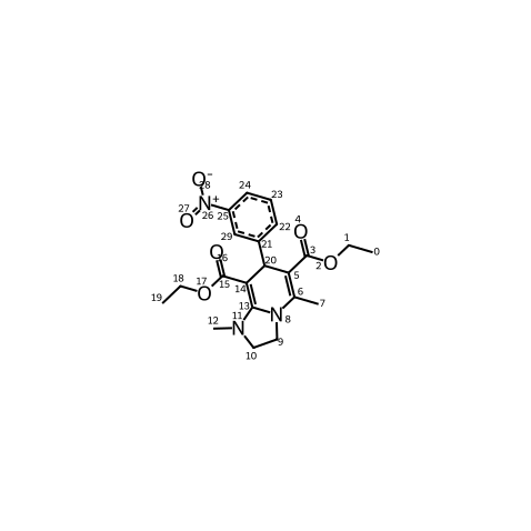 CCOC(=O)C1=C(C)N2CCN(C)C2=C(C(=O)OCC)C1c1cccc([N+](=O)[O-])c1